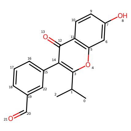 CC(C)c1oc2cc(O)ccc2c(=O)c1-c1cccc(C=O)c1